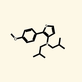 COc1ccc(-c2sccc2P(CC(C)C)CC(C)C)cc1